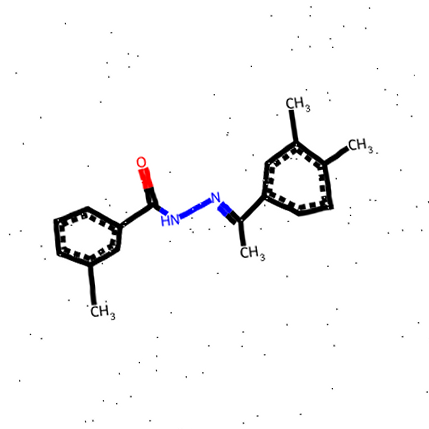 C/C(=N\NC(=O)c1cccc(C)c1)c1ccc(C)c(C)c1